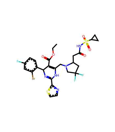 CCOC(=O)C1=C(CN2CC(F)(F)CC2CC(=O)NS(=O)(=O)C2CC2)NC(c2nccs2)=NC1c1ccc(F)cc1Br